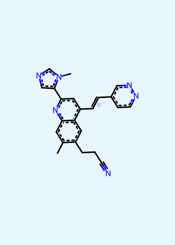 Cc1cc2nc(-c3cncn3C)cc(/C=C/c3ccnnc3)c2cc1CCC#N